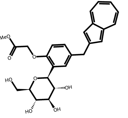 COC(=O)COc1ccc(Cc2cc3cccccc-3c2)cc1[C@@H]1O[C@H](CO)[C@@H](O)[C@H](O)[C@H]1O